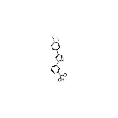 Nc1ccc(-c2cnn(-c3cccc(C(=O)O)c3)c2)cc1